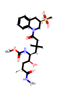 CCCCNC(=O)[C@H](C)C[C@H](O)[C@H](CC(C)(C)CC(=O)N1C[C@H](S(C)(=O)=O)Cc2ccccc21)NC(=O)OC(C)(C)C